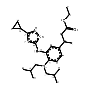 CCOC(=O)CC(C)c1ccc(N(CC(C)C)CC(C)C)c(Nc2nc(C3CC3)ns2)c1